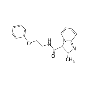 CC1N=C2C=CC=CN2C1C(=O)NCCOc1ccccc1